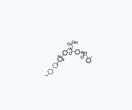 CC[C@H]1CC[C@H](C2CC=C(c3cnc(-c4ccc(CN(CC(=O)O)C(=O)c5ccc(NC(=O)Cc6ccccc6C)cc5)cc4)nc3)CC2)CC1